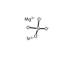 [Mg+2].[O-][Si]([O-])([O-])[O-].[Sr+2]